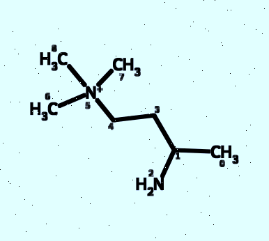 CC(N)CC[N+](C)(C)C